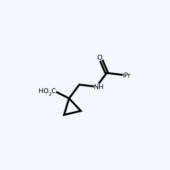 CC(C)C(=O)NCC1(C(=O)O)CC1